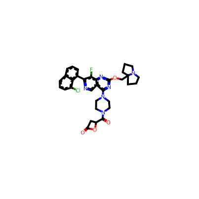 O=C1CC(C(=O)N2CCN(c3nc(OCC45CCCN4CCC5)nc4c(F)c(-c5cccc6cccc(Cl)c56)ncc34)CC2)O1